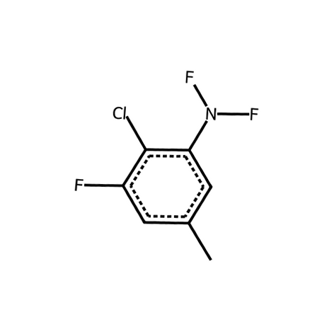 Cc1cc(F)c(Cl)c(N(F)F)c1